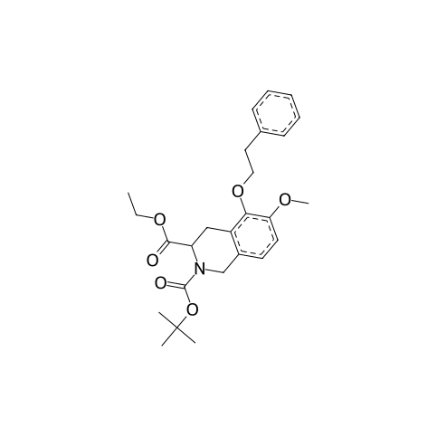 CCOC(=O)C1Cc2c(ccc(OC)c2OCCc2ccccc2)CN1C(=O)OC(C)(C)C